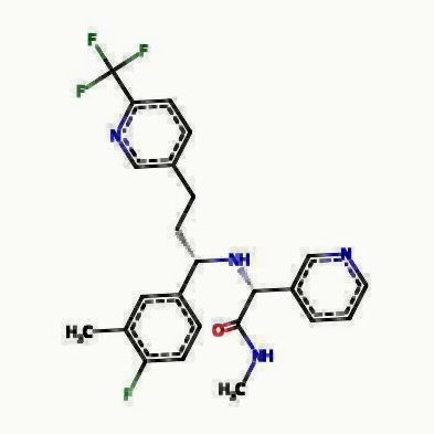 CNC(=O)[C@H](N[C@@H](CCc1ccc(C(F)(F)F)nc1)c1ccc(F)c(C)c1)c1cccnc1